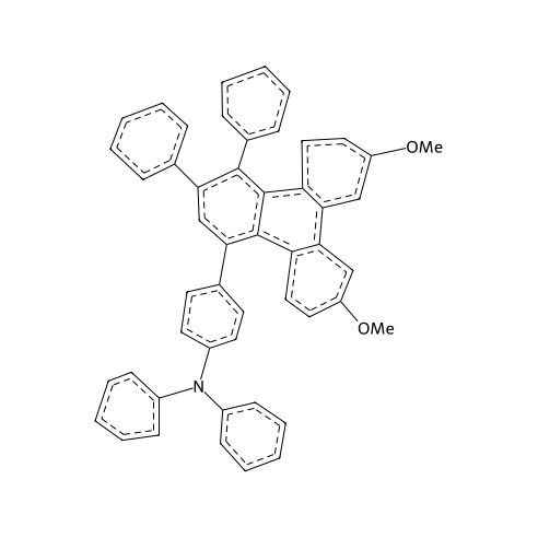 COc1ccc2c(c1)c1cc(OC)ccc1c1c(-c3ccccc3)c(-c3ccccc3)cc(-c3ccc(N(c4ccccc4)c4ccccc4)cc3)c21